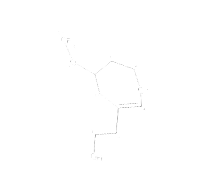 OCCC1=CCCCC(OC(F)(F)F)C1